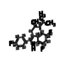 CC(C)CC(C)Cc1c(-c2ccc(F)cc2)[nH]c2c(F)cc(F)cc12